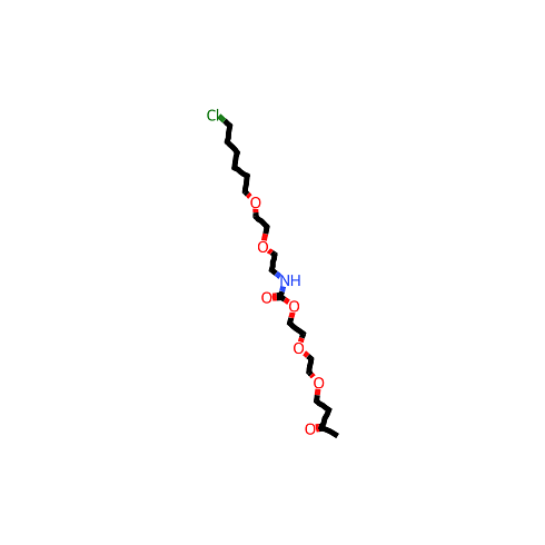 CC(=O)CCOCCOCCOC(=O)NCCOCCOCCCCCCCl